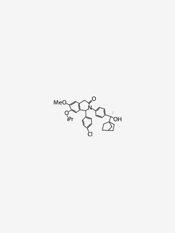 COc1cc2c(cc1OC(C)C)C(c1ccc(Cl)cc1)N(c1ccc([C@@](C)(O)C34CCC(CC3)C4)cc1)C(=O)C2